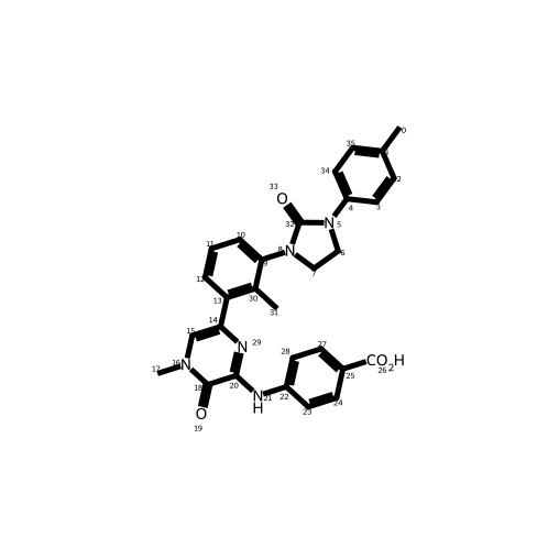 Cc1ccc(N2CCN(c3cccc(-c4cn(C)c(=O)c(Nc5ccc(C(=O)O)cc5)n4)c3C)C2=O)cc1